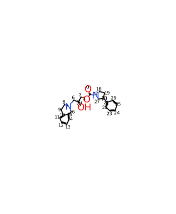 O=C(OC[C@H](O)CN1CCc2ccccc2C1)N1CC[C@@H](c2ccccc2)C1